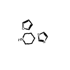 C1CCNCC1.c1ccoc1.c1cscn1